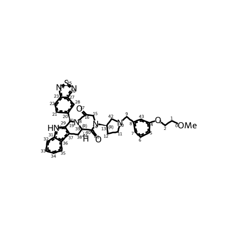 COCCOc1cccc(CN2CC[C@@H](N3CC(=O)N4[C@H](c5ccc6nsnc6c5)c5[nH]c6ccccc6c5C[C@@H]4C3=O)C2)c1